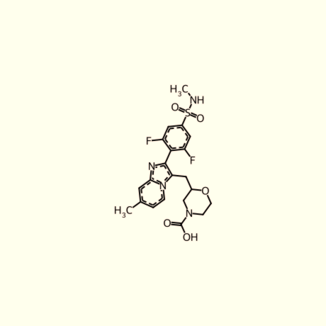 CNS(=O)(=O)c1cc(F)c(-c2nc3cc(C)ccn3c2CC2CN(C(=O)O)CCO2)c(F)c1